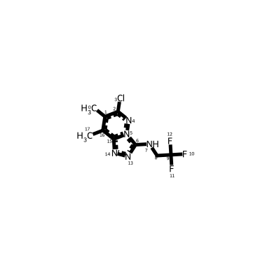 Cc1c(Cl)nn2c(NCC(F)(F)F)nnc2c1C